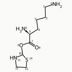 NCCCC[C@H](N)C(=O)OC1NCCS1